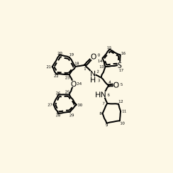 O=C(NC(C(=O)NC1CCCCC1)c1cccs1)c1ccccc1Oc1ccccc1